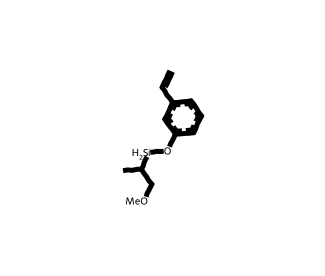 C=Cc1cccc(O[SiH2]C(C)COC)c1